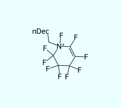 CCCCCCCCCCC[N+]1(F)C(F)=C(F)C(F)(F)C(F)(F)C1(F)F